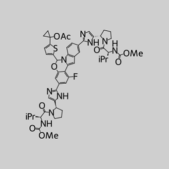 COC(=O)N[C@H](C(=O)N1CCC[C@@H]1c1cnc(-c2cc(F)c3c(c2)OC(c2ccc(C4(OC(C)=O)CC4)s2)n2c-3cc3cc(-c4ncc([C@@H]5CCCN5C(=O)[C@@H](NC(=O)OC)C(C)C)[nH]4)ccc32)[nH]1)C(C)C